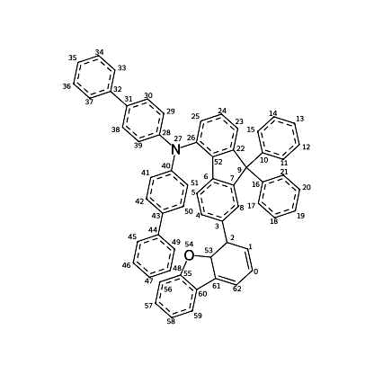 C1=CC(c2ccc3c(c2)C(c2ccccc2)(c2ccccc2)c2cccc(N(c4ccc(-c5ccccc5)cc4)c4ccc(-c5ccccc5)cc4)c2-3)C2Oc3ccccc3C2=C1